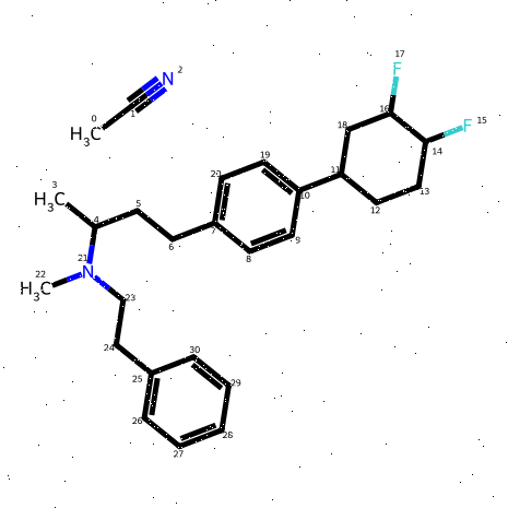 CC#N.CC(CCc1ccc(C2CCC(F)C(F)C2)cc1)N(C)CCc1ccccc1